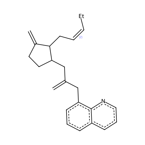 C=C(Cc1cccc2cccnc12)CC1CCC(=C)C1C/C=C\CC